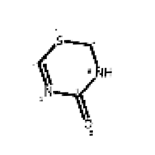 O=C1N=CSCN1